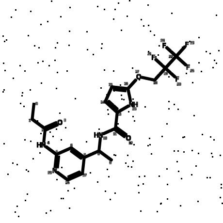 CCC(=O)Nc1cc(C(C)NC(=O)c2ccc(OCC(F)(F)C(F)(F)F)[nH]2)ccn1